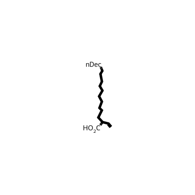 C=CC(CCCCCCCCCCCCCCCCCCCC)C(=O)O